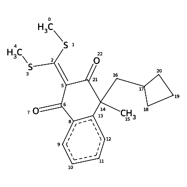 CSC(SC)=C1C(=O)c2ccccc2C(C)(CC2CCC2)C1=O